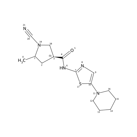 CC1C[C@H](C(=O)Nc2ncc(N3CCCCC3)s2)CN1C#N